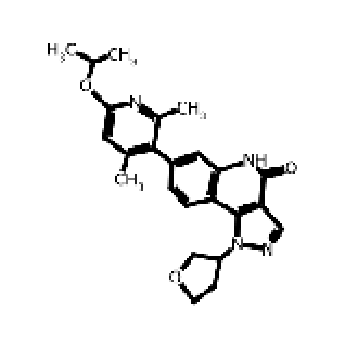 Cc1cc(OC(C)C)nc(C)c1-c1ccc2c(c1)[nH]c(=O)c1cnn(C3CCOC3)c12